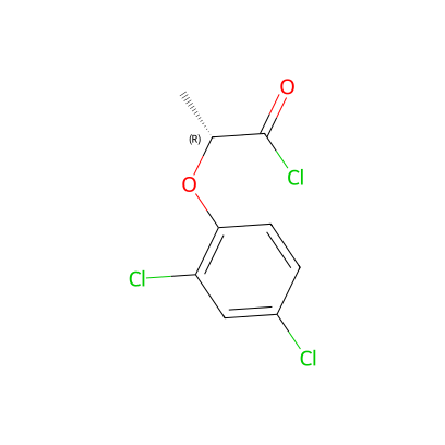 C[C@@H](Oc1ccc(Cl)cc1Cl)C(=O)Cl